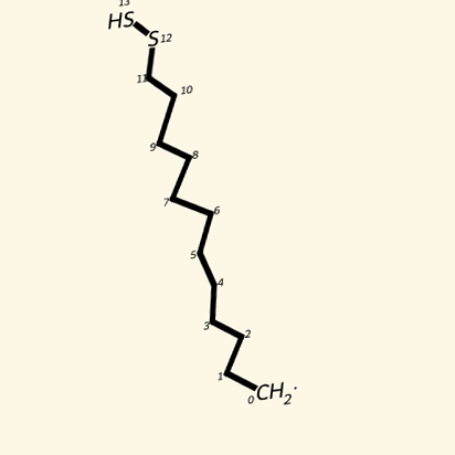 [CH2]CCCCCCCCCCCSS